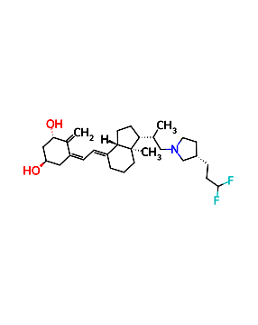 C=C1/C(=C\C=C2/CCC[C@]3(C)[C@@H](C(C)CN4CC[C@H](CCC(F)F)C4)CC[C@@H]23)C[C@@H](O)C[C@@H]1O